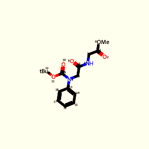 COC(=O)CNC(=O)CN(C(=O)OC(C)(C)C)c1ccccc1